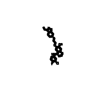 CCc1nnc2n1CCN(CCCOc1cc3c(Nc4ccc(F)c(Cl)c4)ncnc3cc1OC)C2